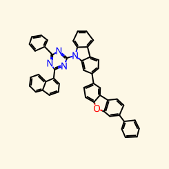 c1ccc(-c2ccc3c(c2)oc2ccc(-c4ccc5c6ccccc6n(-c6nc(-c7ccccc7)nc(-c7cccc8ccccc78)n6)c5c4)cc23)cc1